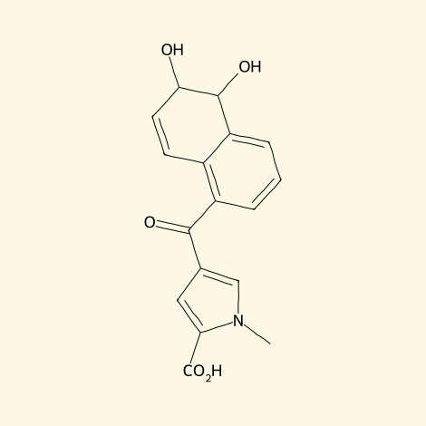 Cn1cc(C(=O)c2cccc3c2C=CC(O)C3O)cc1C(=O)O